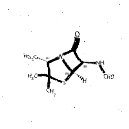 CC1(C)S[C@@H]2[C@H](NC=O)C(=O)N2[C@H]1C(=O)O